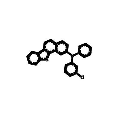 Clc1cccc(N(c2ccccc2)c2ccc3ccc4c5ccccc5sc4c3c2)c1